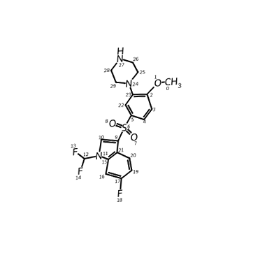 COc1ccc(S(=O)(=O)c2cn(C(F)F)c3cc(F)ccc23)cc1N1CCNCC1